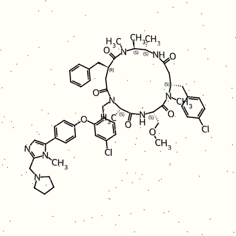 COC[C@@H]1NC(=O)[C@H](C)N(Cc2ccc(Cl)cc2Oc2ccc(-c3cnc(CN4CCCC4)n3C)cc2)C(=O)C[C@@H](Cc2ccccc2)C(=O)N(C)[C@@H](C)[C@H](C)NC(=O)C[C@H](Cc2ccc(Cl)cc2)N(C)C1=O